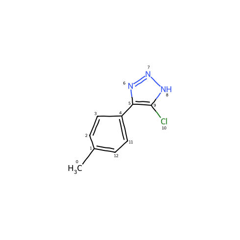 Cc1ccc(-c2nn[nH]c2Cl)cc1